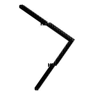 Cl.Cl.[Cl-].[Cl-].[Cl-].[Cl-].[Cl-].[Cl-].[Cl-].[Cl-].[Cl-].[Cl-].[Cl-].[Cl-].[Cl-].[Cl-].[Cl-].[Cl-].[Cl-].[Cl-].[Cl-].[Cl-].[Cl-].[Cl-].[Cl-].[Cl-].[Cl-].[Cl-].[Cl-].[Cl-].[Cl-].[Cl-].[Cl-].[Cl-].[Cl-].[Cl-].[Cl-].[Cl-].[Cl-].[Cl-].[Cl-].[Cl-].[Cl-].[Cl-].[Cl-].[Cl-].[Cl-].[Cl-].[Cl-].[Cl-].[Cl-].[Li+].[Li+].[Li+].[Li+].[Li+].[Li+].[Li+].[Li+].[Li+].[Li+].[Li+].[Li+].[Li+].[Li+].[Li+].[Li+].[Li+].[Li+].[Li+].[Li+].[Li+].[Li+].[Li+].[Li+].[Li+].[Li+].[Li+].[Li+].[Li+].[Li+].[Li+].[Li+].[Li+].[Li+].[Li+].[Li+].[Li+].[Li+].[Li+].[Li+].[Li+].[Li+].[Li+].[Li+].[Li+].[Li+].[Li+].[Li+].[Li+]